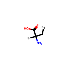 [2H]CC([2H])(N)C(=O)O